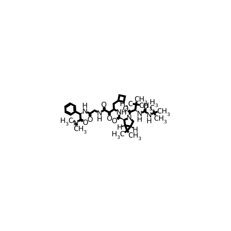 CN(C)C(=O)[C@@H](NC(=O)CNC(=O)C(=O)C(CC1CCC1)NC(=O)[C@@H]1[C@@H]2[C@H](CN1C(=O)[C@@H](NC(=O)NC(C)(C)C)C(C)(C)C)C2(C)C)c1ccccc1